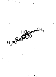 CCCCCCOc1c(O)c2ccc(OCCC(=O)OCC)cc2oc1=O